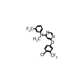 CN(c1cccc(C(F)(F)F)c1)c1cc(Oc2ccc(Cl)c(C(F)(F)F)c2)ncn1